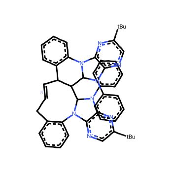 CC(C)(C)c1cnc2c(n1)N(c1ccccc1)C1C3C(/C=C/Cc4ccccc4N21)c1ccccc1N1c2nc(C(C)(C)C)cnc2N(c2ccccc2)C31